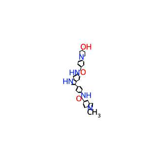 Cn1ccc2cc(C(=O)Nc3ccc(-c4c[nH]c5cc(NC(=O)c6ccc(N7CCC(O)CC7)cc6)ccc45)cc3)ccc21